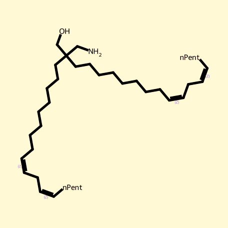 CCCCC/C=C\C/C=C\CCCCCCCCC(CN)(CO)CCCCCCCC/C=C\C/C=C\CCCCC